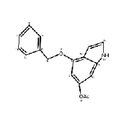 CC(=O)Oc1cc(OCc2ccccc2)c2cc[nH]c2c1